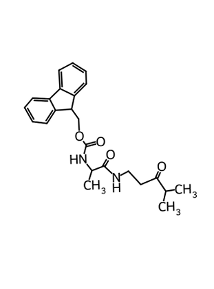 CC(C)C(=O)CCNC(=O)C(C)NC(=O)OCC1c2ccccc2-c2ccccc21